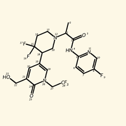 CC(C(=O)Nc1ccc(F)cn1)N1CCC(F)(F)C(c2cc(CO)c(=O)n(CC(F)(F)F)c2)C1